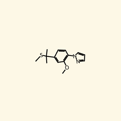 COc1cc(C(C)(C)SC)ccc1-n1cccn1